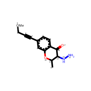 COCC#Cc1ccc2c(c1)OC(C)C(NN)C2=O